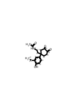 COc1cc(C2(CCNC(C)=O)CCC(=O)C(=O)C2)ccc1O